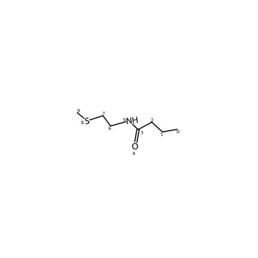 CCCC(=O)NCCSC